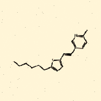 CCCCCCc1ccc(/C=C/c2ccc(C)nc2)s1